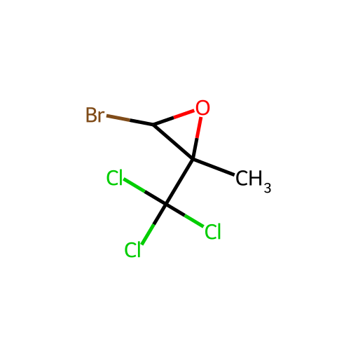 CC1(C(Cl)(Cl)Cl)OC1Br